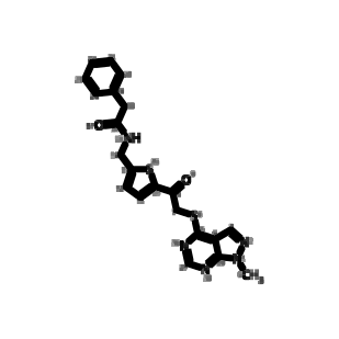 Cn1ncc2c(SCC(=O)c3ccc(CNC(=O)Cc4ccccc4)s3)ncnc21